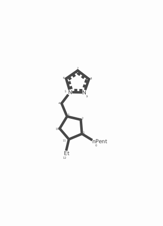 CCCCCC1CC(Cn2cccn2)CC1CC